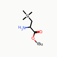 CC(C)(C)OC(=O)C(N)C[Si](C)(C)C